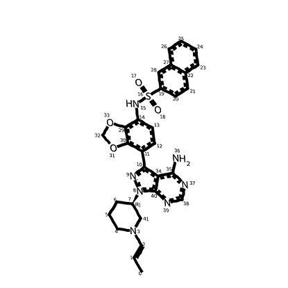 CC=CN1CCC[C@@H](n2nc(-c3ccc(NS(=O)(=O)c4ccc5ccccc5c4)c4c3OCO4)c3c(N)ncnc32)C1